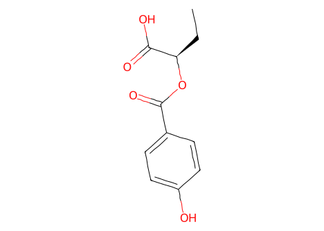 CC[C@@H](OC(=O)c1ccc(O)cc1)C(=O)O